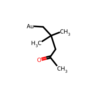 CC(=O)CC(C)(C)[CH2][Au]